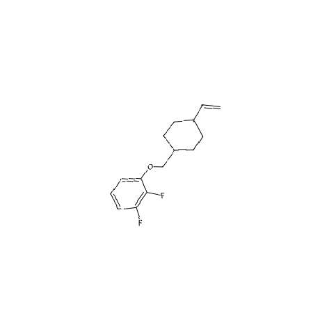 C=CC1CCC(COc2cccc(F)c2F)CC1